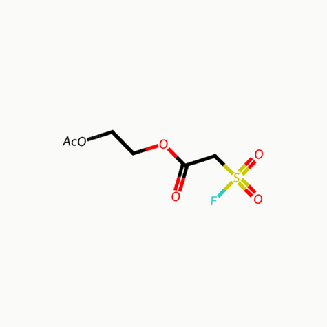 CC(=O)OCCOC(=O)CS(=O)(=O)F